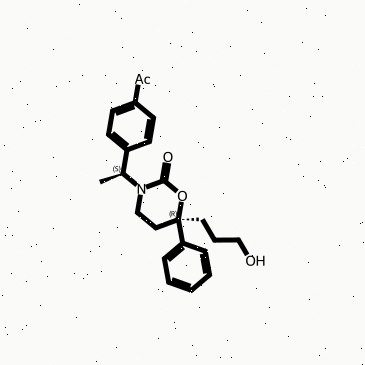 CC(=O)c1ccc([C@H](C)N2CC[C@](CCCO)(c3ccccc3)OC2=O)cc1